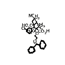 CC1NC(C)C(C(=O)O)(C(C)OCCOC(c2ccccc2)c2ccccc2)C(c2cccc(Cl)c2)C1(CCC#N)C(=O)O